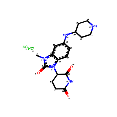 Cl.Cl.Cn1c(=O)n(C2CCC(=O)NC2=O)c2ccc(NC3CCNCC3)cc21